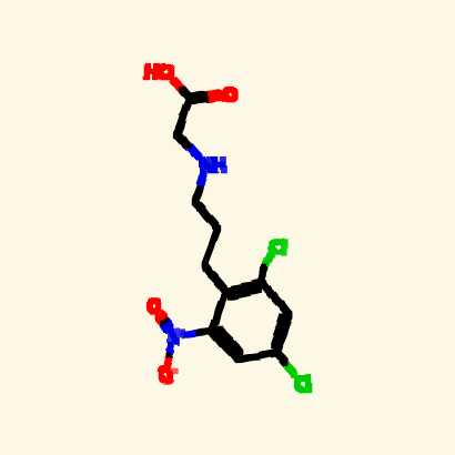 O=C(O)CNCCCc1c(Cl)cc(Cl)cc1[N+](=O)[O-]